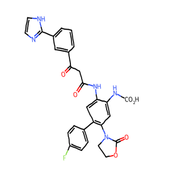 O=C(O)Nc1cc(N2CCOC2=O)c(-c2ccc(F)cc2)cc1NC(=O)CC(=O)c1cccc(-c2ncc[nH]2)c1